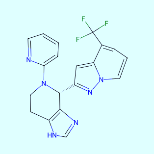 FC(F)(F)c1cccn2nc([C@@H]3c4nc[nH]c4CCN3c3ccccn3)cc12